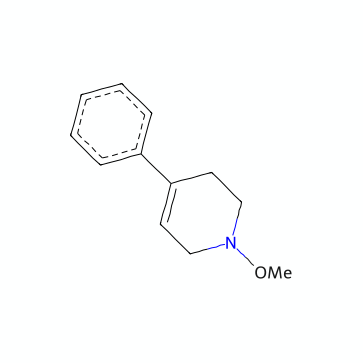 CON1CC=C(c2ccccc2)CC1